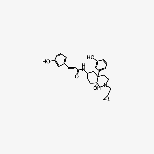 O=C(C=Cc1cccc(O)c1)N[C@@H]1CC[C@]2(O)CN(CC3CC3)CC[C@@]2(c2cccc(O)c2)C1